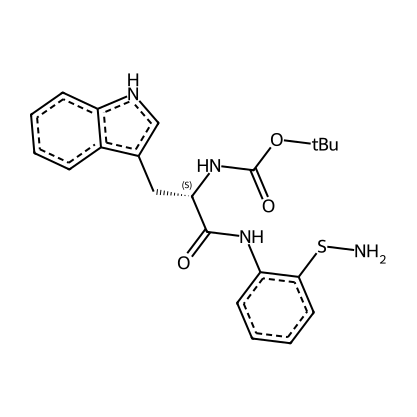 CC(C)(C)OC(=O)N[C@@H](Cc1c[nH]c2ccccc12)C(=O)Nc1ccccc1SN